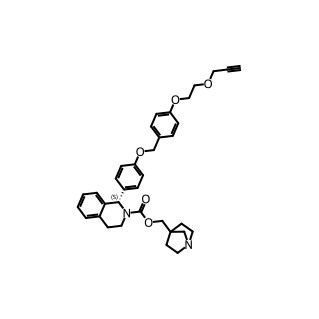 C#CCOCCOc1ccc(COc2ccc([C@H]3c4ccccc4CCN3C(=O)OCC34CCN(CC3)C4)cc2)cc1